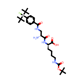 CC(C)(C)OC(=O)NCCCC[C@@H](NC(=O)[C@H](N)CNC(=O)c1ccc([Si](F)(C(C)(C)C)C(C)(C)C)cc1)C(=O)O